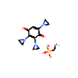 CCP(=O)(O)O.O=C1C=C(N2CC2)C(=O)C(N2CC2)=C1N1CC1